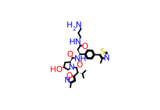 Cc1cc([C@H](C(=O)N2C[C@H](O)C[C@H]2C(=O)N[C@@H](CC(=O)NCCCN)c2ccc(-c3scnc3C)cc2)C(C)C)on1